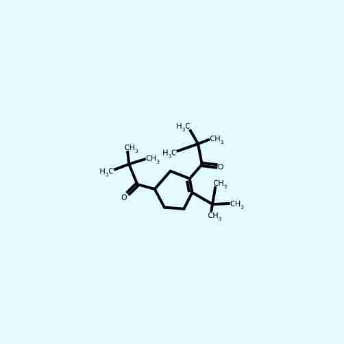 CC(C)(C)C(=O)C1=C(C(C)(C)C)CCC(C(=O)C(C)(C)C)C1